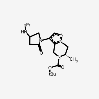 CCCNC1CC(=O)N(c2cnn3c2CN(C(=O)OC(C)(C)C)[C@@H](C)C3)C1